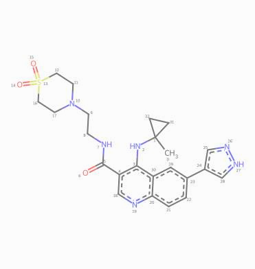 CC1(Nc2c(C(=O)NCCN3CCS(=O)(=O)CC3)cnc3ccc(-c4cn[nH]c4)cc23)CC1